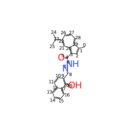 Cc1cc(C(=O)N/N=C/c2ccc3ccccc3c2O)c2cc(C(C)C)cccc1-2